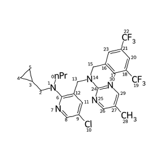 CCCN(CC1CC1)c1ncc(Cl)cc1CN(Cc1cc(C(F)(F)F)cc(C(F)(F)F)c1)c1ncc(C)cn1